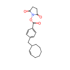 O=C(ON1C(=O)CCC1=O)c1ccc(CC2/C=C\CCCCC2)cc1